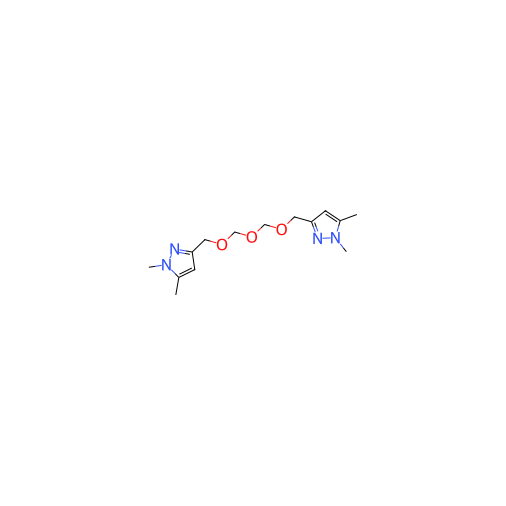 Cc1cc(COCOCOCc2cc(C)n(C)n2)nn1C